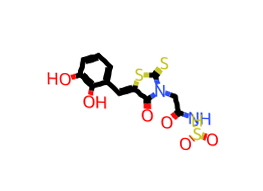 O=C(CN1C(=O)/C(=C/c2cccc(O)c2O)SC1=S)N[SH](=O)=O